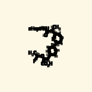 CCCCCCCNC(=O)N(C)c1cccc(-c2ccc(C=C(OC(C)F)C(=O)O)cc2)n1